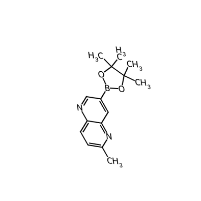 Cc1ccc2ncc(B3OC(C)(C)C(C)(C)O3)cc2n1